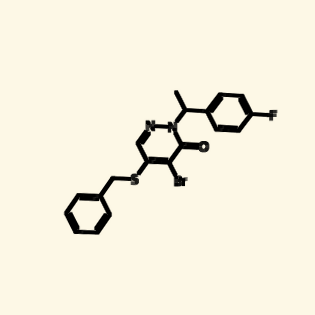 CC(c1ccc(F)cc1)n1ncc(SCc2ccccc2)c(Br)c1=O